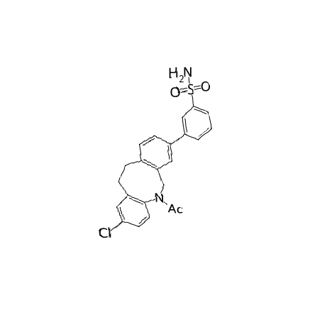 CC(=O)N1Cc2cc(-c3cccc(S(N)(=O)=O)c3)ccc2CCc2cc(Cl)ccc21